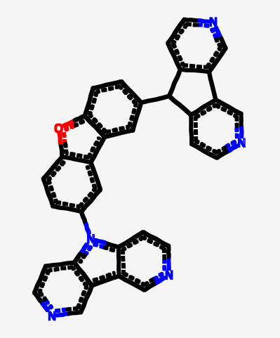 c1cc2c(cn1)-c1cnccc1C2c1ccc2oc3ccc(-n4c5ccncc5c5cnccc54)cc3c2c1